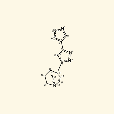 c1nnoc1-c1nnc(N2CCN3CCC2CC3)s1